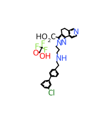 O=C(O)C(F)(F)F.O=C(O)c1c2c(nn1CCCNCCc1ccc(-c3cccc(Cl)c3)cc1)-c1ccncc1CC2